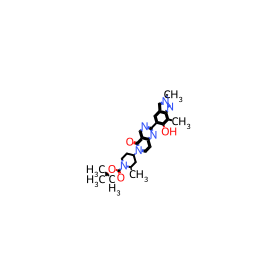 Cc1c(O)c(-c2ncc3c(=O)n([C@@H]4CCN(C(=O)OC(C)(C)C)[C@H](C)C4)ccc3n2)cc2cn(C)nc12